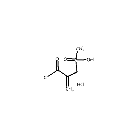 C=C(CP(C)(=O)O)C(=O)Cl.Cl